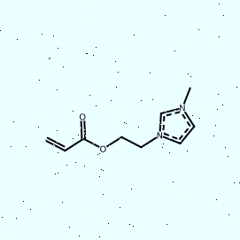 C=CC(=O)OCC[n+]1ccn(C)c1